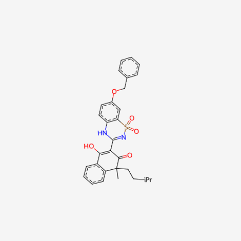 CC(C)CCC1(C)C(=O)C(C2=NS(=O)(=O)c3cc(OCc4ccccc4)ccc3N2)=C(O)c2ccccc21